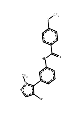 Cn1ncc(Br)c1-c1cccc(NC(=O)c2ccc(OC(F)(F)F)cc2)c1